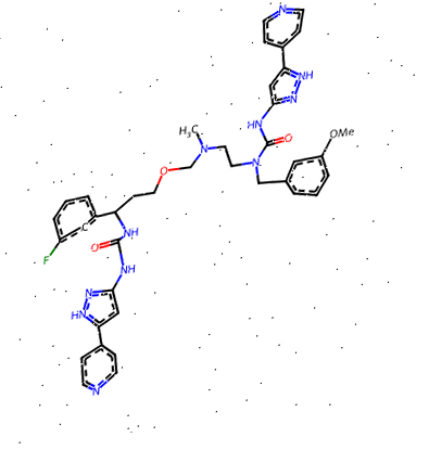 COc1cccc(CN(CCN(C)COCCC(NC(=O)Nc2cc(-c3ccncc3)[nH]n2)c2cccc(F)c2)C(=O)Nc2cc(-c3ccncc3)[nH]n2)c1